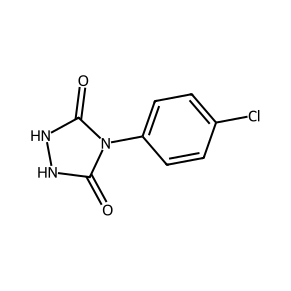 O=c1[nH][nH]c(=O)n1-c1ccc(Cl)cc1